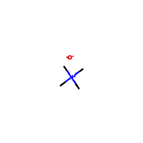 C[N+](C)(C)C.[O-]